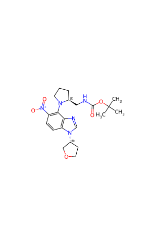 CC(C)(C)OC(=O)NC[C@@H]1CCCN1c1c([N+](=O)[O-])ccc2c1ncn2[C@@H]1CCOC1